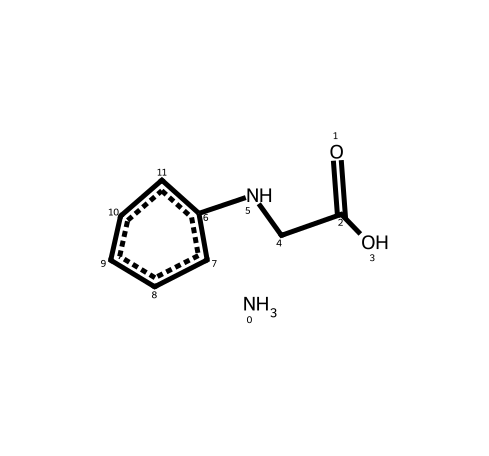 N.O=C(O)CNc1ccccc1